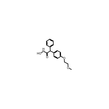 COCCOc1ccc(C(C(=O)NO)c2ccccc2)cc1